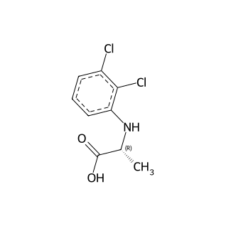 C[C@@H](Nc1cccc(Cl)c1Cl)C(=O)O